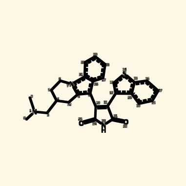 CN(C)CC1CCn2c(c(C3=C(c4csc5ccccc45)C(=O)NC3=O)c3ccccc32)C1